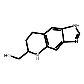 OCC1CCc2cc3[nH]cnc3cc2N1